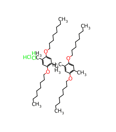 CCCCCCCCOc1cc(C)c(OCCCCCCCC)cc1C.CCCCCCCCOc1cc(C)c(OCCCCCCCC)cc1C.Cl.Cl